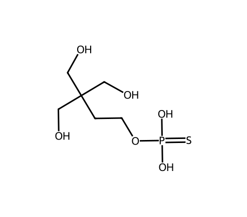 OCC(CO)(CO)CCOP(O)(O)=S